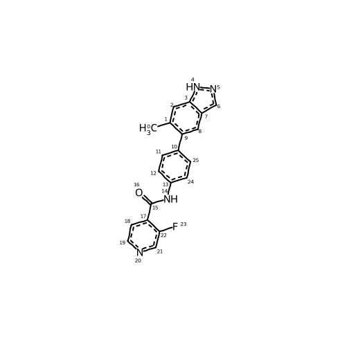 Cc1cc2[nH]ncc2cc1-c1ccc(NC(=O)c2ccncc2F)cc1